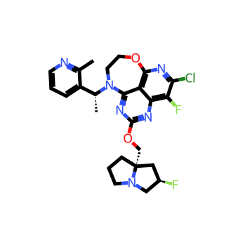 Cc1ncccc1[C@@H](C)N1CCOc2nc(Cl)c(F)c3nc(OC[C@@]45CCCN4C[C@H](F)C5)nc1c23